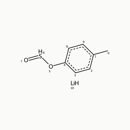 Cc1ccc(O[SH]=O)cc1.[LiH]